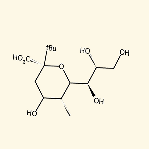 C[C@@H]1C(O)C[C@@](C(=O)O)(C(C)(C)C)OC1[C@H](O)[C@H](O)CO